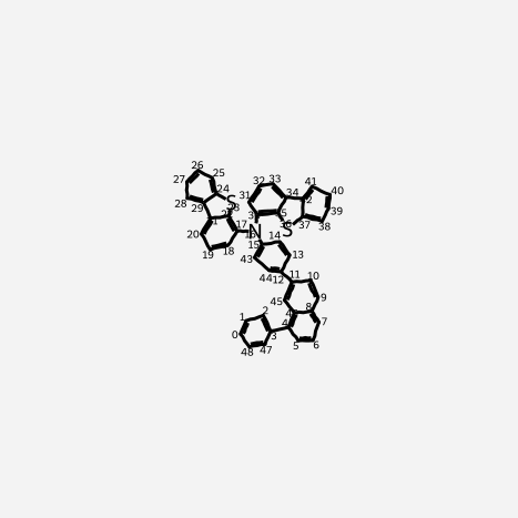 c1ccc(-c2cccc3ccc(-c4ccc(N(c5cccc6c5sc5ccccc56)c5cccc6c5sc5ccccc56)cc4)cc23)cc1